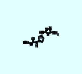 CC(C)(C)OC(=O)N[C@@H]1CC[C@@H](Nc2nnc(N)s2)C1